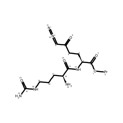 CC(C)OC(=O)[C@H](CCC(=O)C=[N+]=[N-])NC(=O)[C@@H](N)CCCNC(N)=O